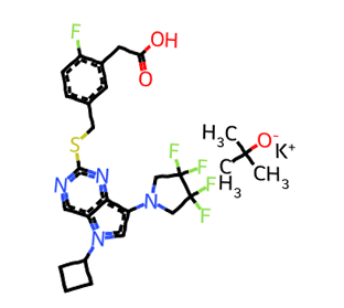 CC(C)(C)[O-].O=C(O)Cc1cc(CSc2ncc3c(n2)c(N2CC(F)(F)C(F)(F)C2)cn3C2CCC2)ccc1F.[K+]